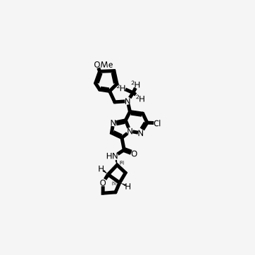 [2H]C([2H])([2H])N(Cc1ccc(OC)cc1)c1cc(Cl)nn2c(C(=O)N[C@@H]3C[C@H]4CCO[C@H]43)cnc12